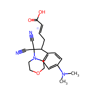 CN(C)c1ccc(C(C/C=C/C(=O)O)C(C#N)(C#N)N2CCOCC2)cc1